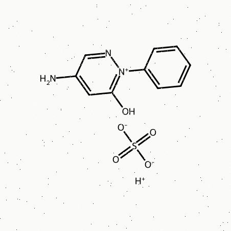 Nc1cn[n+](-c2ccccc2)c(O)c1.O=S(=O)([O-])[O-].[H+]